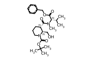 CC(C)[C@@H](C(=O)OCc1ccccc1)N(C)C(=O)[C@H]1CCCN(C(=O)OC(C)(C)C)[C@@H]1CO